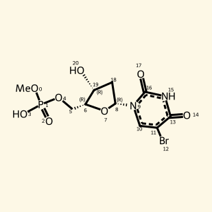 COP(=O)(O)OC[C@H]1O[C@@H](n2cc(Br)c(=O)[nH]c2=O)C[C@H]1O